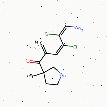 C=C(/C=C(Cl)\C(Cl)=C/N)C(=O)C1(CCC)CCNC1